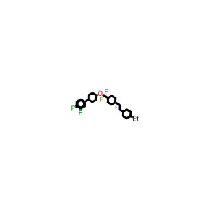 CCC1CCC(/C=C/C2CCC(C(F)(F)OC3CCC(c4ccc(F)c(F)c4)CC3)CC2)CC1